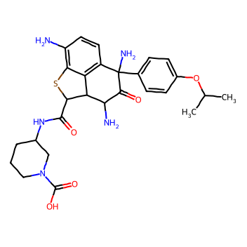 CC(C)Oc1ccc(C2(N)C(=O)C(N)C3c4c2ccc(N)c4SC3C(=O)NC2CCCN(C(=O)O)C2)cc1